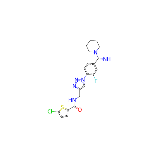 N=C(c1ccc(-n2cc(CNC(=O)c3ccc(Cl)s3)nn2)c(F)c1)N1CCCCC1